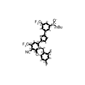 CCCC[S+]([O-])c1cc(-c2ccc(-c3cc(C(F)(F)F)c(C#N)c(=O)n3Cc3ccc(F)cc3F)s2)cc(C(F)(F)F)c1